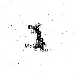 CCCC(=O)N(Cc1nc2ccc3cc4c(cc3c2[nH]1)OCc1cc(-c2cnc(CN(C(=O)CNC(=O)OC)[C@@H](C)CC)[nH]2)ccc1-4)[C@@H](C)CC